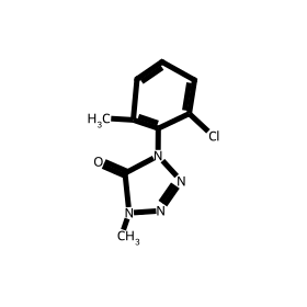 Cc1cccc(Cl)c1-n1nnn(C)c1=O